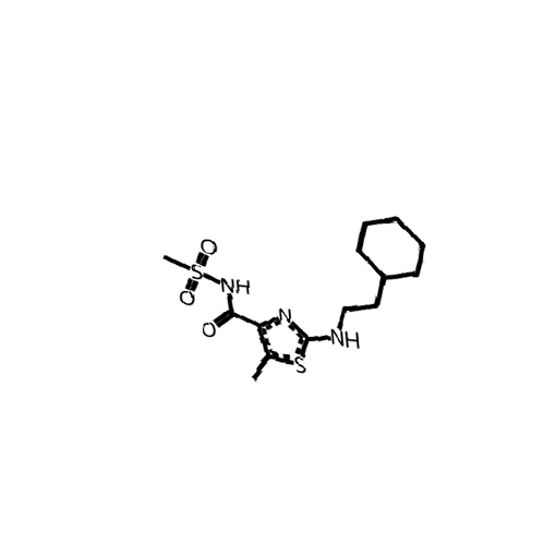 Cc1sc(NCCC2CCCCC2)nc1C(=O)NS(C)(=O)=O